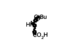 CC1CC(c2n[nH]c3cc(CCC4CCN(C(=O)O)CC4)ccc23)CCN1C(=O)OC(C)(C)C